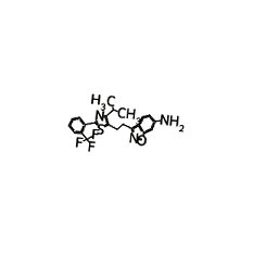 CC(C)c1nc(-c2ccccc2C(F)(F)F)sc1CCc1noc2cc(N)ccc12